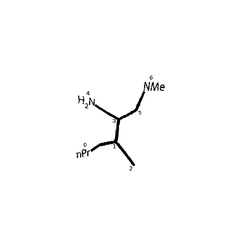 CCCC(C)C(N)CNC